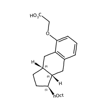 CCCCCCCC[C@H]1CC[C@@H]2Cc3c(cccc3OCC(=O)O)C[C@H]12